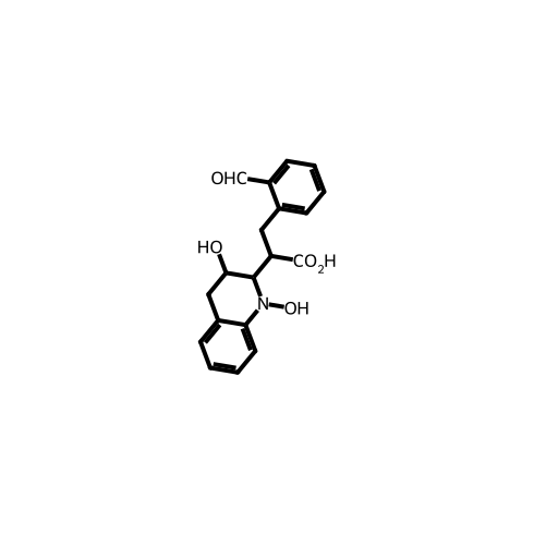 O=Cc1ccccc1CC(C(=O)O)C1C(O)Cc2ccccc2N1O